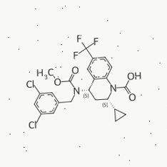 COC(=O)N(Cc1cc(Cl)cc(Cl)c1)[C@H]1C[C@@H](C2CC2)N(C(=O)O)c2ccc(C(F)(F)F)cc21